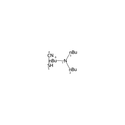 CCCCN(CCCC)CCCC.N#CS